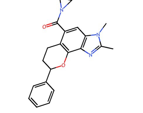 Cc1nc2c3c(c(C(=O)N4CC4)cc2n1C)CCC(c1ccccc1)O3